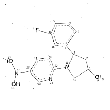 CC1CC(c2cccc(F)c2)N(c2ccc(N(O)O)cn2)C1